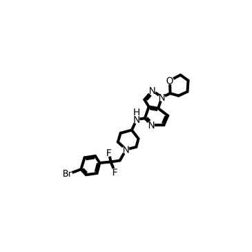 FC(F)(CN1CCC(Nc2nccc3c2cnn3C2CCCCO2)CC1)c1ccc(Br)cc1